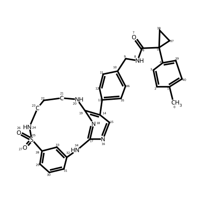 Cc1ccc(C2(C(=O)NCc3ccc(-c4cnc5nc4NCCCNS(=O)(=O)c4cccc(c4)N5)cc3)CC2)cc1